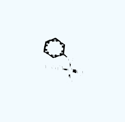 O=P([O-])([O-])Oc1ccccc1.[Co+2]